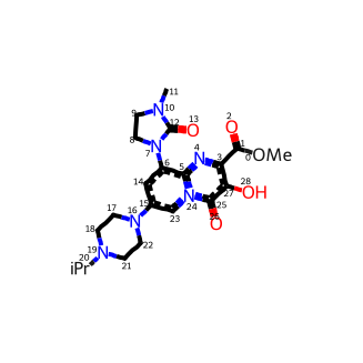 COC(=O)c1nc2c(N3CCN(C)C3=O)cc(N3CCN(C(C)C)CC3)cn2c(=O)c1O